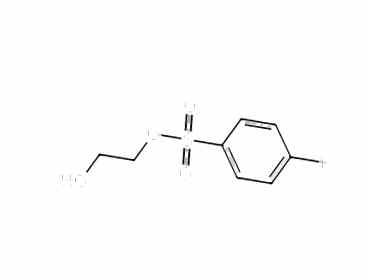 O=S(=O)(OCCO)c1ccc(F)cc1